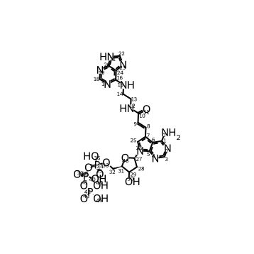 Nc1ncnc2c1c(/C=C/C(=O)NCCNc1ncnc3[nH]cnc13)cn2[C@H]1CC(O)[C@@H](COP(=O)(O)OP(=O)(O)OP(=O)(O)O)O1